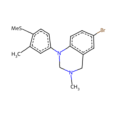 CSc1ccc(N2CN(C)Cc3cc(Br)ccc32)cc1C